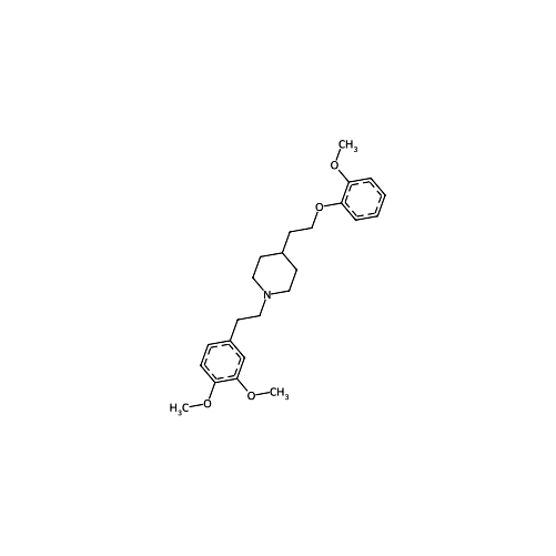 COc1ccc(CCN2CCC(CCOc3ccccc3OC)CC2)cc1OC